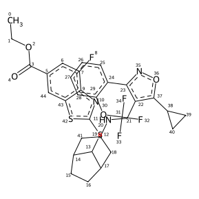 CCOC(=O)c1cc(F)c2nc(SC3C4CCC3CC(NCc3c(-c5ccccc5OC(F)(F)F)noc3C3CC3)C4)sc2c1